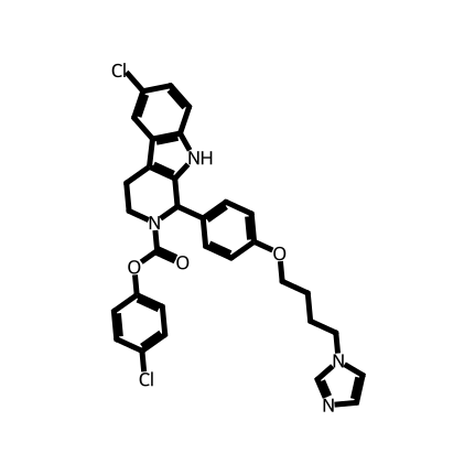 O=C(Oc1ccc(Cl)cc1)N1CCc2c([nH]c3ccc(Cl)cc23)C1c1ccc(OCCCCn2ccnc2)cc1